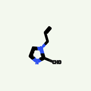 C=CCn1ccnc1C=O